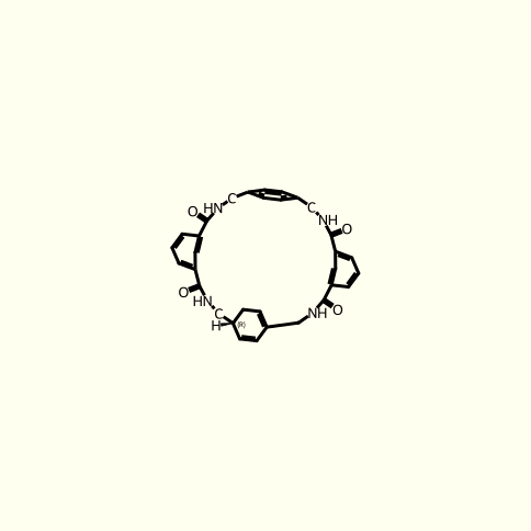 O=C1NCC2=CC[C@H](C=C2)CNC(=O)c2cccc(c2)C(=O)NCc2ccc(cc2)CNC(=O)c2cccc1c2